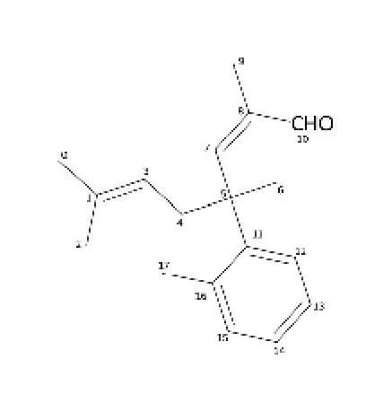 CC(C)=CCC(C)(C=C(C)C=O)c1ccccc1C